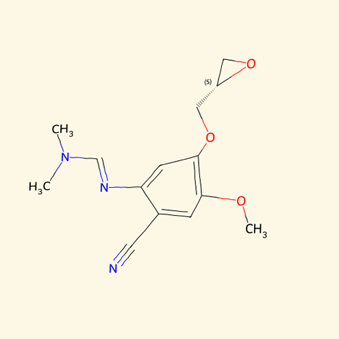 COc1cc(C#N)c(N=CN(C)C)cc1OC[C@@H]1CO1